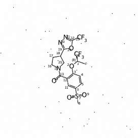 C[C@@H](Oc1ccc(S(C)(=O)=O)cc1C(=O)N1CCC(c2nnc(C(F)(F)F)o2)C1)C(F)(F)F